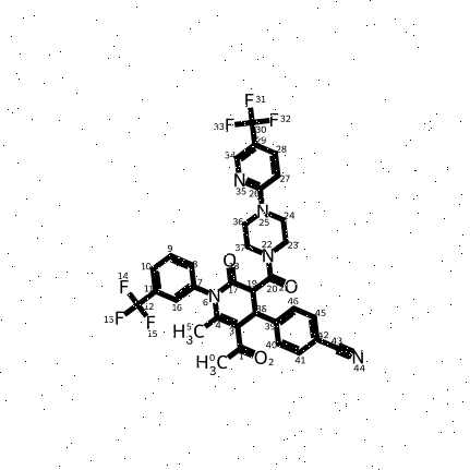 CC(=O)C1=C(C)N(c2cccc(C(F)(F)F)c2)C(=O)C(C(=O)N2CCN(c3ccc(C(F)(F)F)cn3)CC2)C1c1ccc(C#N)cc1